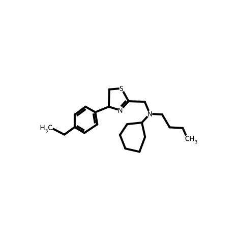 CCCCN(CC1=NC(c2ccc(CC)cc2)CS1)C1CCCCC1